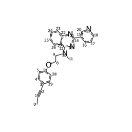 CC#Cc1ccc(OCCN(C)c2nc(-c3cccnc3)nc3ccccc23)cc1